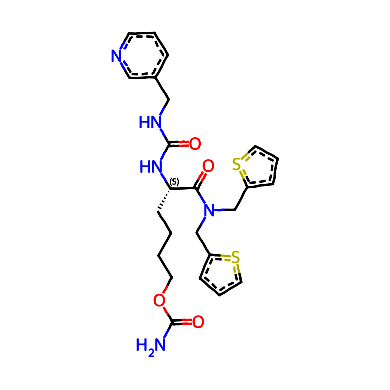 NC(=O)OCCCC[C@H](NC(=O)NCc1cccnc1)C(=O)N(Cc1cccs1)Cc1cccs1